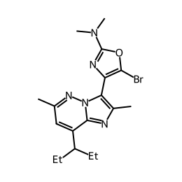 CCC(CC)c1cc(C)nn2c(-c3nc(N(C)C)oc3Br)c(C)nc12